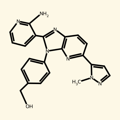 Cn1nccc1-c1ccc2nc(-c3cccnc3N)n(-c3ccc(CO)cc3)c2n1